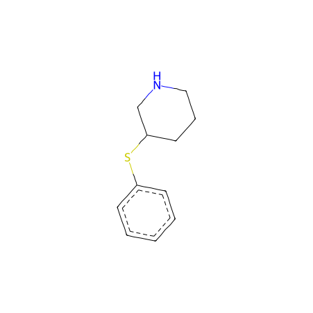 c1ccc(SC2CCCNC2)cc1